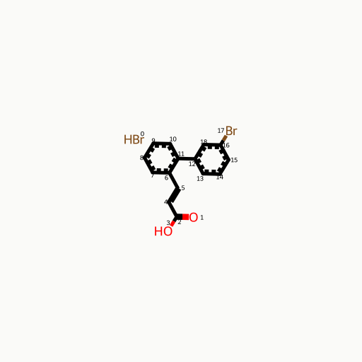 Br.O=C(O)C=Cc1ccccc1-c1cccc(Br)c1